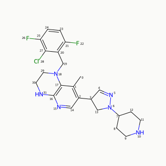 Cc1c(C2C=NN(C3CCNCC3)C2)cnc2c1N(Cc1c(F)ccc(F)c1Cl)CCN2